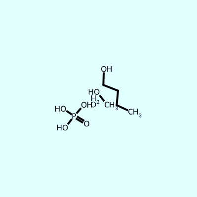 CCCCO.CO.O.O=P(O)(O)O